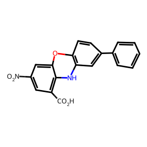 O=C(O)c1cc([N+](=O)[O-])cc2c1Nc1cc(-c3ccccc3)ccc1O2